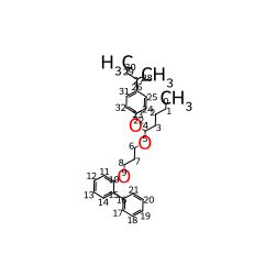 CCCCC(OCCCOc1ccccc1-c1ccccc1)Oc1ccc(C(C)CC)cc1